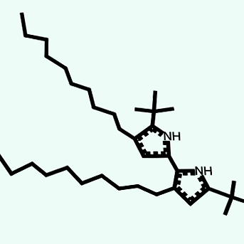 CCCCCCCCCCc1cc(C(C)(C)C)[nH]c1-c1cc(CCCCCCCCCC)c(C(C)(C)C)[nH]1